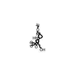 COCCC1(CCOC)C(=O)N(CCCO)c2cc3c4c([nH]c3cc21)-c1nn(COCC[Si](C)(C)C)cc1CCC4